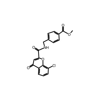 COC(=O)c1ccc(CNC(=O)c2cc(=O)c3cccc(Cl)c3o2)cc1